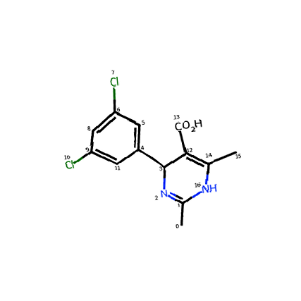 CC1=NC(c2cc(Cl)cc(Cl)c2)C(C(=O)O)=C(C)N1